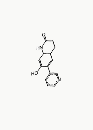 O=C1CCC2C=C(c3cccnc3)C(O)=CC2N1